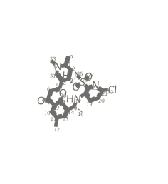 C=C1C=CC(c2cc(=O)c3cc(C)cc([C@@H](C)Nc4ccc(Cl)nc4S(N)(=O)=O)c3o2)=CN1C